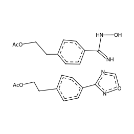 CC(=O)OCCc1ccc(-c2ncon2)cc1.CC(=O)OCCc1ccc(C(=N)NO)cc1